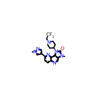 Cn1cc(-c2ccc3ncc4c(c3n2)n(C2CCN(CC(F)(F)F)CC2)c(=O)n4C)cn1